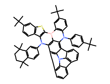 CC(C)(C)c1ccc(N2c3ccc(C(C)(C)C)cc3B3c4sc5cc(C(C)(C)C)ccc5c4N(c4ccc5c(c4)C(C)(C)CCC5(C)C)c4c3c2c2c3cccc5c6cccc7c4c2n(c53)c67)cc1